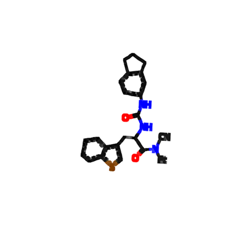 CCN(C#N)C(=O)C(Cc1csc2ccccc12)NC(=O)Nc1ccc2c(c1)CCC2